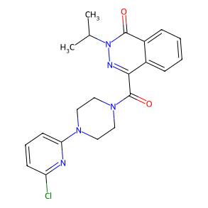 CC(C)n1nc(C(=O)N2CCN(c3cccc(Cl)n3)CC2)c2ccccc2c1=O